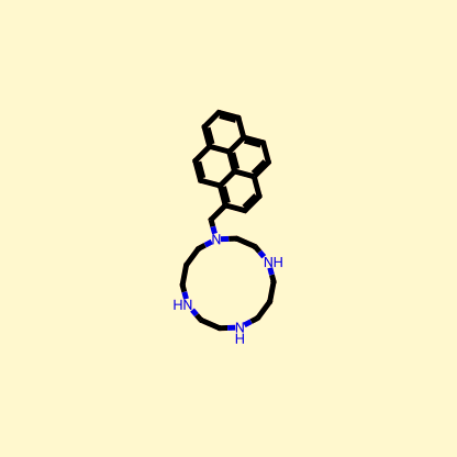 c1cc2ccc3ccc(CN4CCCNCCNCCCNCC4)c4ccc(c1)c2c34